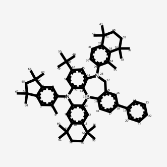 Cc1cc2c(cc1N1c3cc4c(cc3B3c5ccc(-c6ccccc6)cc5CN(c5ccc6c(c5C)C(C)(C)CCC6(C)C)c5cc(C(C)(C)C)cc1c53)C(C)(C)CCC4(C)C)C(C)(C)CC2(C)C